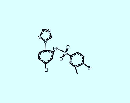 Cc1cc(S(=O)(=O)Nc2cc(Cl)ccc2-n2cncn2)ccc1Br